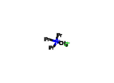 CC(C)[N+](C)(C(C)C)C(C)C.[Cl-]